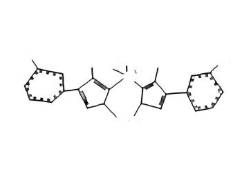 CC1=[C]([Hf]([CH3])([CH3])(=[SiH2])[C]2=C(C)C(c3cccc(C)c3)=CC2C)C(C)C=C1c1cccc(C)c1.Cl